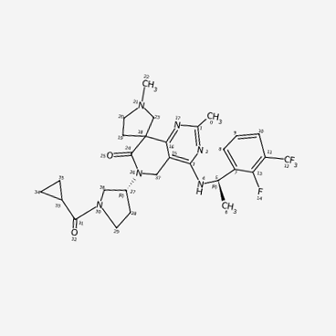 Cc1nc(N[C@H](C)c2cccc(C(F)(F)F)c2F)c2c(n1)C1(CCN(C)C1)C(=O)N([C@@H]1CCN(C(=O)C3CC3)C1)C2